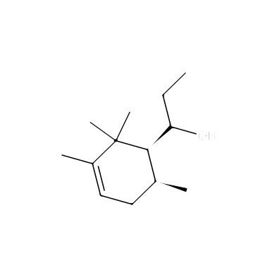 CCC(O)[C@H]1[C@@H](C)CC=C(C)C1(C)C